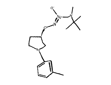 Cc1cccc(N2CC[C@@H](O/N=[N+](\[O-])N(C)C(C)(C)C)C2)c1